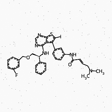 CN(C)C/C=C/C(=O)Nc1cccc(-c2c(I)sc3ncnc(N[C@H](COCc4cccc(F)c4)c4ccccc4)c23)c1